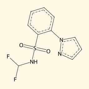 O=S(=O)(NC(F)F)c1ccccc1-n1cccn1